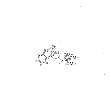 CC[Si](CC)(CC)N(CCC[Si](OC)(OC)OC)c1ccccc1